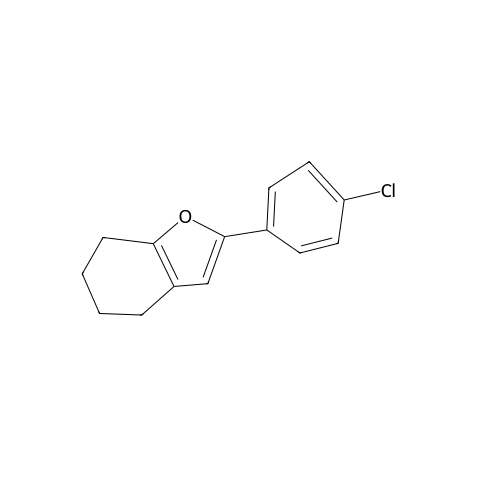 Clc1ccc(-c2cc3c(o2)CCCC3)cc1